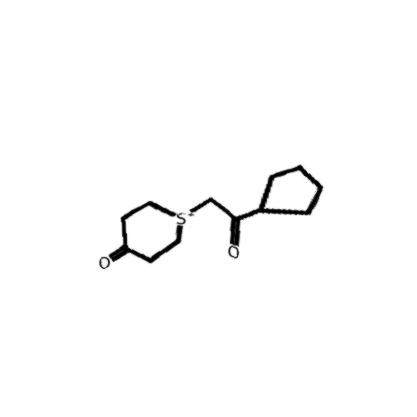 O=C1CC[S+](CC(=O)C2CCCC2)CC1